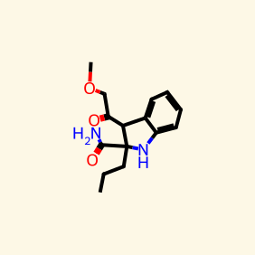 CCCC1(C(N)=O)Nc2ccccc2C1C(=O)COC